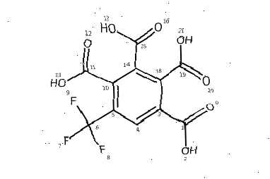 O=C(O)c1cc(C(F)(F)F)c(C(=O)O)c(C(=O)O)c1C(=O)O